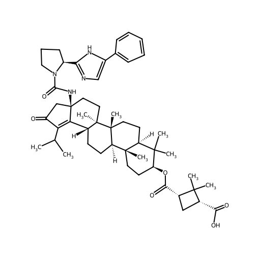 CC(C)C1=C2[C@H]3CC[C@@H]4[C@@]5(C)CC[C@H](OC(=O)[C@H]6C[C@@H](C(=O)O)C6(C)C)C(C)(C)[C@@H]5CC[C@@]4(C)[C@]3(C)CC[C@@]2(NC(=O)N2CCC[C@H]2c2ncc(-c3ccccc3)[nH]2)CC1=O